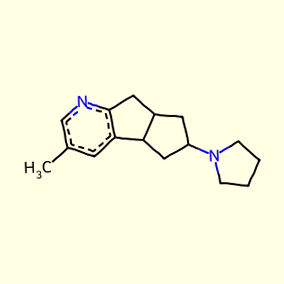 Cc1cnc2c(c1)C1CC(N3CCCC3)CC1C2